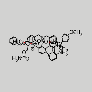 COc1ccc(CN(Cc2ccc(OC)cc2)S(=O)(=O)c2c(S(=O)(=O)NC(CCc3ccccc3)COC(N)=O)ccc(-c3cccc(N)n3)c2-c2nnn(Cc3ccc(OC)cc3)n2)cc1